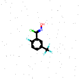 ON=C(Cl)c1cc(C(F)(F)F)ccc1F